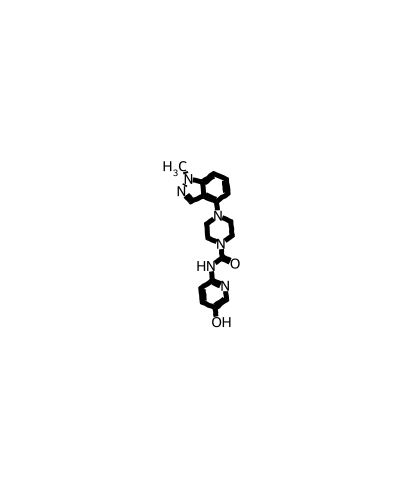 Cn1ncc2c(N3CCN(C(=O)Nc4ccc(O)cn4)CC3)cccc21